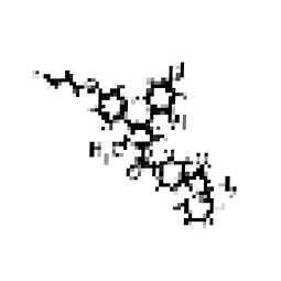 Cn1c(C(=O)N2CCC(C(N)=O)(N3CCCCC3)CC2)cc(-c2ccc(Cl)cc2Cl)c1-c1ccc(OCCCI)cc1